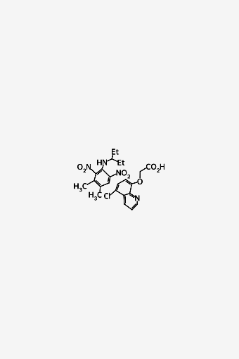 CCC(CC)Nc1c([N+](=O)[O-])cc(C)c(C)c1[N+](=O)[O-].O=C(O)COc1ccc(Cl)c2cccnc12